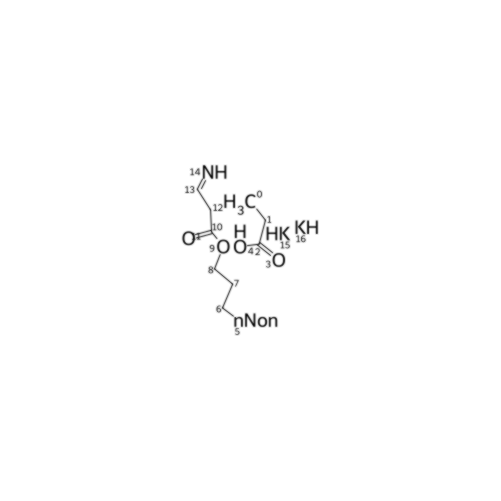 CCC(=O)O.CCCCCCCCCCCCOC(=O)CC=N.[KH].[KH]